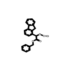 O=COC(C(=O)OCc1ccccc1)c1cccc2c1Cc1ccccc1-2